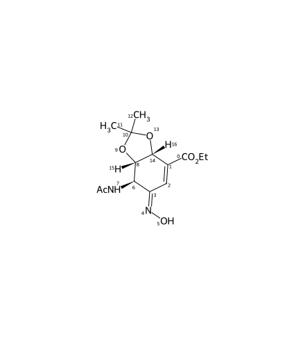 CCOC(=O)C1=CC(=NO)[C@@H](NC(C)=O)[C@@H]2OC(C)(C)O[C@H]12